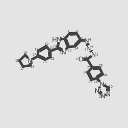 O=C(N=[N+]=Nc1ccc2[nH]c(-c3ccc(N4CCCC4)cc3)nc2c1)c1ccc(-n2cnnn2)cc1